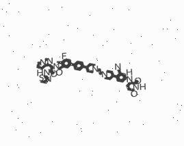 N#Cc1cc(NC2CCC(=O)NC2=O)ccc1C1CCN(CCN2CCC(c3ccc(-c4cc(F)c5c(c4)C(=O)N(C(C(=O)Nc4nccs4)c4ncn6c4CCC6)C5)cc3)CC2)CC1